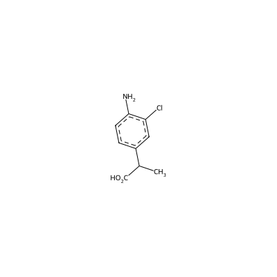 CC(C(=O)O)c1ccc(N)c(Cl)c1